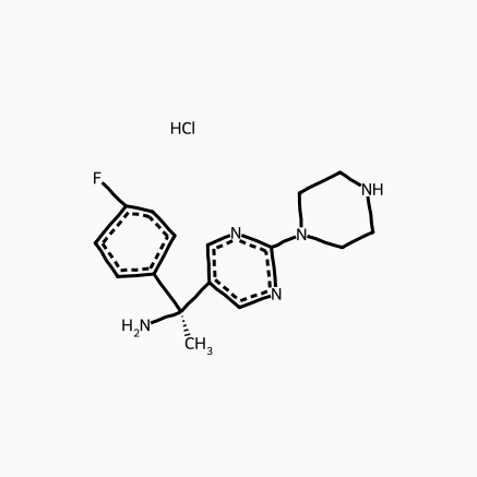 C[C@](N)(c1ccc(F)cc1)c1cnc(N2CCNCC2)nc1.Cl